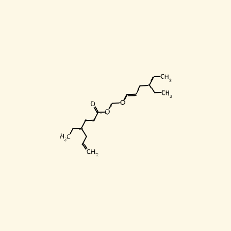 C=CCC(CC)CCC(=O)OCO/C=C/CC(CC)CC